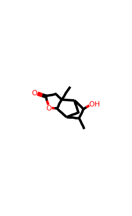 CC1C(O)C2CC1C1OC(=O)CC21C